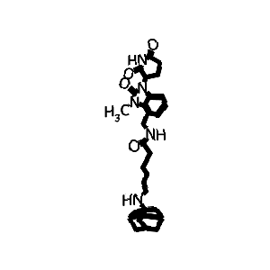 Cn1c(=O)n(C2CCC(=O)NC2=O)c2cccc(CNC(=O)CCCCCNC34CC5CC(CC(C5)C3)C4)c21